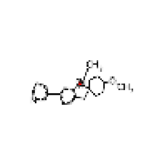 COC1CCC2(CC1)Cc1ccc(-c3cccnc3)cc1C21N=CN(C)O1